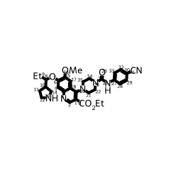 CCOC(=O)c1cnc2cc(OC(CC)C3CCNC3)c(OC)cc2c1N1CCN(C(=O)Nc2ccc(C#N)cc2)CC1